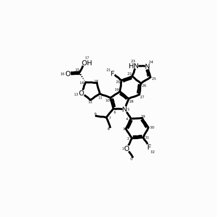 COc1cc(-n2c(C(C)C)c(C3CO[C@H](C(=O)O)C3)c3c(F)c4[nH]ncc4cc32)ccc1F